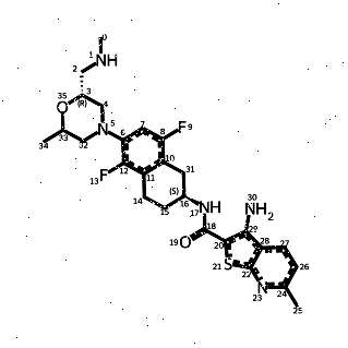 CNC[C@@H]1CN(c2cc(F)c3c(c2F)CC[C@H](NC(=O)c2sc4nc(C)ccc4c2N)C3)CC(C)O1